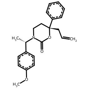 C=CC[C@]1(c2ccccc2)CCN([C@@H](C)c2ccc(OC)cc2)C(=O)O1